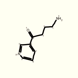 NCCCC(=O)c1cccnc1